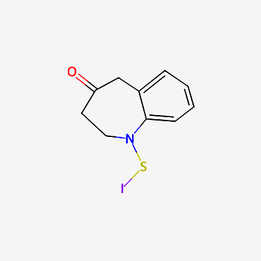 O=C1CCN(SI)c2ccccc2C1